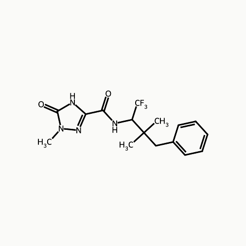 Cn1nc(C(=O)NC(C(F)(F)F)C(C)(C)Cc2ccccc2)[nH]c1=O